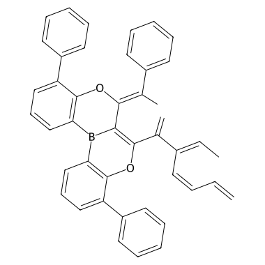 C=C/C=C\C(=C/C)C(=C)C1=C2B(c3cccc(-c4ccccc4)c3O1)c1cccc(-c3ccccc3)c1O/C2=C(/C)c1ccccc1